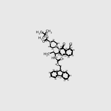 CCC(NC(=O)OCC1c2ccccc2-c2ccccc21)c1nc2cccc(Cl)c2c(=O)n1N1CCN(C(=O)OC(C)(C)C)CC1